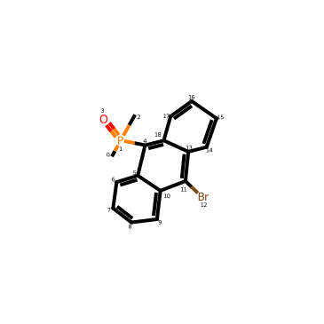 CP(C)(=O)c1c2ccccc2c(Br)c2ccccc12